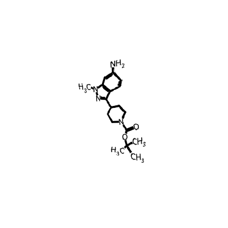 Cn1nc(C2CCN(C(=O)OC(C)(C)C)CC2)c2ccc(N)cc21